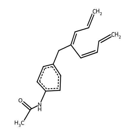 C=C/C=C\C(=C/C=C)Cc1ccc(NC(C)=O)cc1